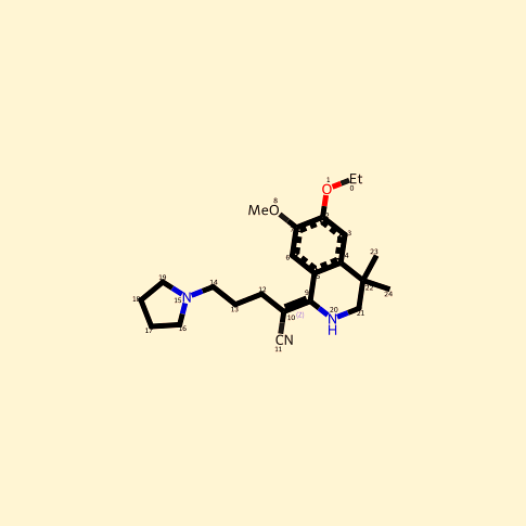 CCOc1cc2c(cc1OC)/C(=C(/C#N)CCCN1CCCC1)NCC2(C)C